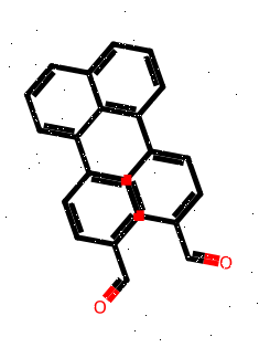 O=Cc1ccc(-c2cccc3cccc(-c4ccc(C=O)cc4)c23)cc1